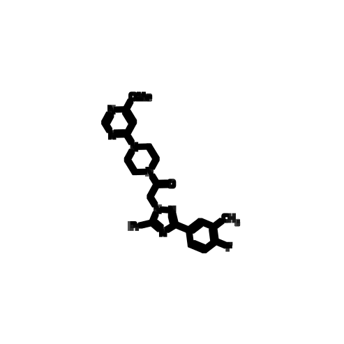 COc1cc(N2CCN(C(=O)Cn3nc(-c4ccc(F)c(C)c4)nc3C(C)C)CC2)ncn1